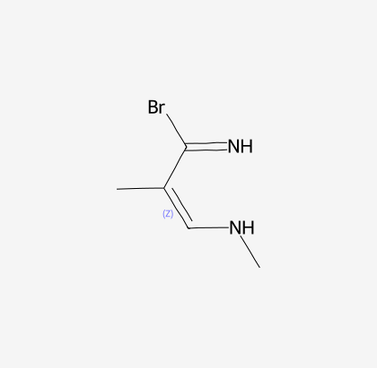 CN/C=C(/C)C(=N)Br